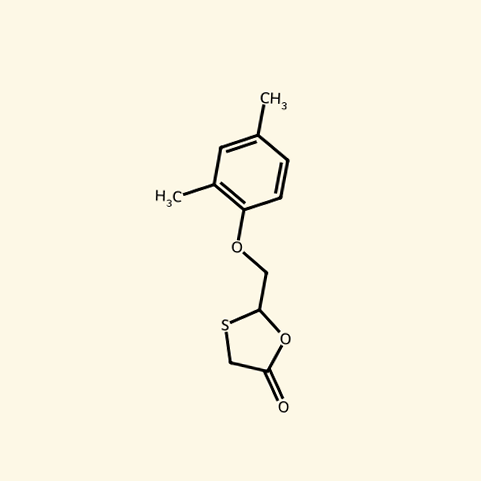 Cc1ccc(OCC2OC(=O)CS2)c(C)c1